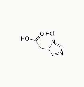 Cl.O=C(O)CC1C=NC=N1